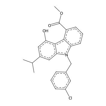 COC(=O)c1cccc2c1c1c(O)cc(C(C)C)cc1n2Cc1cccc(Cl)c1